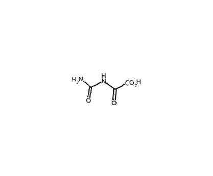 NC(=O)NC(=O)C(=O)O